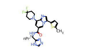 CCC[C@H](NC(=O)c1cc(N2CCC(F)(F)CC2)c2ncc(-c3ccc(C)s3)n2c1)c1nnc[nH]1